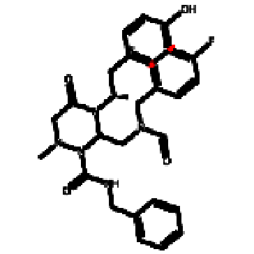 C[C@H](Cc1ccc(O)cc1)N1C(=O)CN(C)N(C(=O)NCc2ccccc2)C1CN(C=O)Cc1ccc(F)cc1F